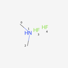 CNC.F.F